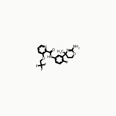 CC1(c2cc(NC(=O)c3ncccc3OCC(F)(F)F)ccc2F)CCOC(N)=N1